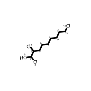 OC(Cl)C(Cl)CCCCCCCCl